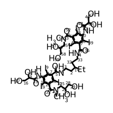 CCC(CCNC(=O)c1c(I)c(NC(=O)C(O)CO)c(I)c(C(=O)N(C)CC(O)CO)c1I)CCNC(=O)c1c(I)c(NC(=O)C(O)CO)c(I)c(C(=O)N(C)CC(O)CO)c1I